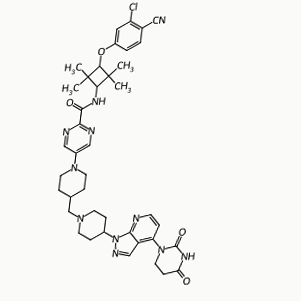 CC1(C)C(NC(=O)c2ncc(N3CCC(CN4CCC(n5ncc6c(N7CCC(=O)NC7=O)ccnc65)CC4)CC3)cn2)C(C)(C)C1Oc1ccc(C#N)c(Cl)c1